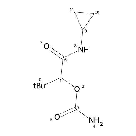 CC(C)(C)C(OC(N)=O)C(=O)NC1CC1